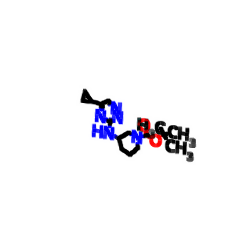 CC(C)(C)OC(=O)N1CCC[C@@H](Nc2nncc(C3CC3)n2)C1